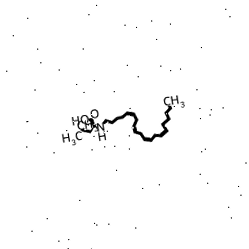 CCCCC/C=C\C/C=C\C/C=C\C/C=C\CCCCN[C@@H](CC(C)C)C(=O)O